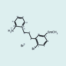 CSc1ccc(Br)c(CCC[n+]2ccccc2N)c1.[Br-]